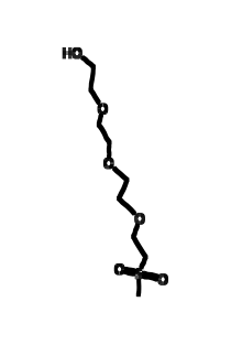 CS(=O)(=O)CCOCCOCCOCCO